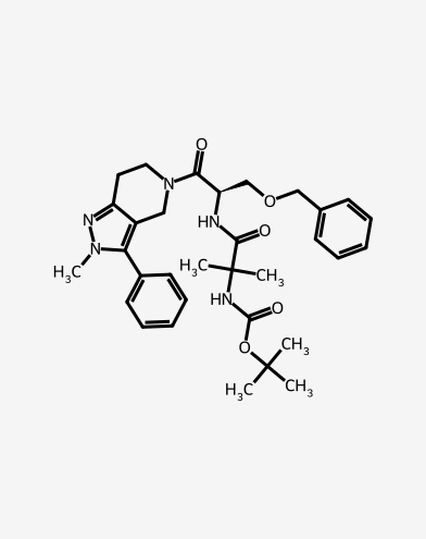 Cn1nc2c(c1-c1ccccc1)CN(C(=O)[C@@H](COCc1ccccc1)NC(=O)C(C)(C)NC(=O)OC(C)(C)C)CC2